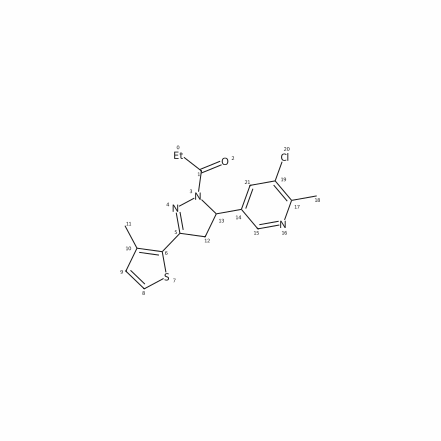 CCC(=O)N1N=C(c2sccc2C)CC1c1cnc(C)c(Cl)c1